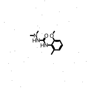 COc1cccc(C)c1NC(=O)NN(C)C